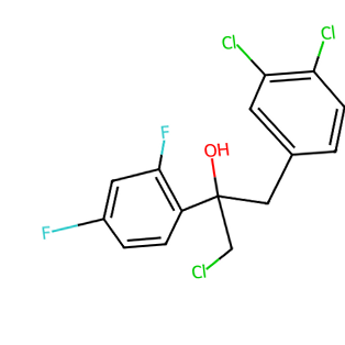 OC(CCl)(Cc1ccc(Cl)c(Cl)c1)c1ccc(F)cc1F